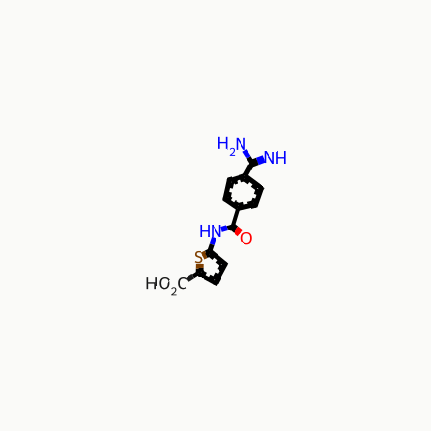 N=C(N)c1ccc(C(=O)Nc2ccc(C(=O)O)s2)cc1